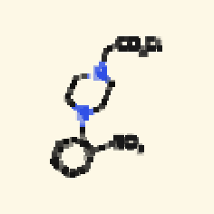 CCOC(=O)CN1CCN(c2ccccc2[N+](=O)[O-])CC1